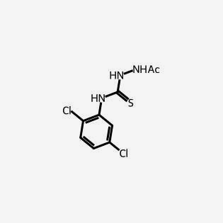 CC(=O)NNC(=S)Nc1cc(Cl)ccc1Cl